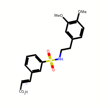 COc1ccc(CCNS(=O)(=O)c2cccc(/C=C/C(=O)O)c2)cc1OC